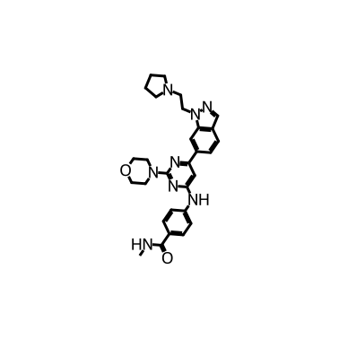 CNC(=O)c1ccc(Nc2cc(-c3ccc4cnn(CCN5CCCC5)c4c3)nc(N3CCOCC3)n2)cc1